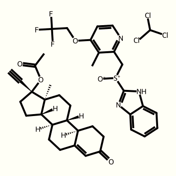 C#C[C@]1(OC(C)=O)CC[C@H]2[C@@H]3CCC4=CC(=O)CC[C@@H]4[C@H]3CC[C@@]21C.Cc1c(OCC(F)(F)F)ccnc1C[S+]([O-])c1nc2ccccc2[nH]1.ClC(Cl)Cl